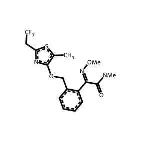 CNC(=O)C(=NOC)c1ccccc1COc1nc(CC(F)(F)F)sc1C